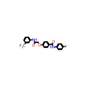 O=C(COc1ccc(C(=O)Nc2ccc(F)cc2)cc1)Nc1cccc(C(F)(F)F)c1